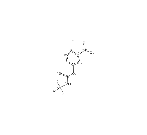 CC(C)(C)NC(=O)Oc1ccc(F)c([N+](=O)[O-])c1